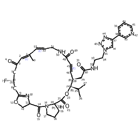 CC1=C\C(=O)C[C@@H](F)CC2=NC(CO2)C(=O)N2CCC[C@@H]2C(=O)O[C@H](C(C)C)[C@H](CC(=O)NCCn2cc(-c3cccnc3)nn2)/C=C/C(=O)NC\C=C\1